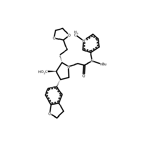 CCCCN(C(=O)CN1C[C@H](c2ccc3c(c2)CCO3)[C@@H](C(=O)O)[C@@H]1CCC1OCCO1)c1ccc[n+](C)c1